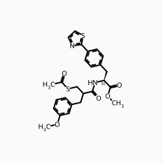 COC(=O)[C@H](Cc1ccc(-c2nccs2)cc1)NC(=O)C(CSC(C)=O)Cc1cccc(OC)c1